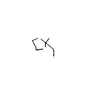 CCCCCCCC1(CCCCC)OCCO1